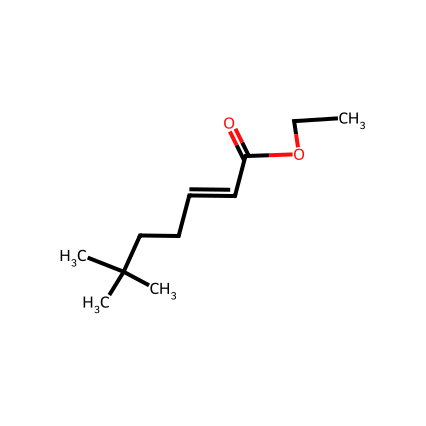 CCOC(=O)/C=C/CCC(C)(C)C